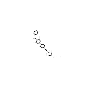 CCCCCc1cnc(C#Cc2ccc(-c3cc(F)c(C(F)(F)Oc4cc(F)c(F)c(F)c4)c(F)c3)c(F)c2)nc1